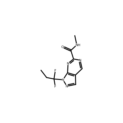 CCC(F)(F)n1ncc2cnc(C(=O)NC)nc21